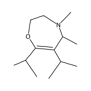 CC(C)C1=C(C(C)C)C(C)N(C)CCO1